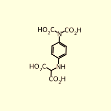 O=C(O)C(Nc1ccc(N(C(=O)O)C(=O)O)cc1)C(=O)O